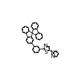 c1cc(-c2ccc3c(c2)C2(c4ccccc4-c4ccccc42)c2ccccc2-3)cc(-c2ncc(-n3cccn3)s2)c1